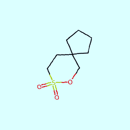 O=S1(=O)CCC2(CCCC2)CO1